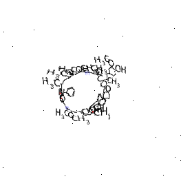 COC1CC2CCC(C)C(O)(O2)C(=O)C(=O)N2CCCCC2C(=O)OC(C(C)CC2CCC(O)C(OC)C2)CC(=O)C(C)/C=C(\C)C(O)C(C)C(=O)C(C)CC(C)C2CCC(/C=C/1C)ON2c1ccccc1